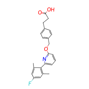 Cc1cc(F)cc(C)c1-c1cccc(OCc2ccc(CCC(=O)O)cc2)n1